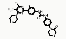 Cc1c(Cl)nc(-c2ccc(NC(=O)Nc3ccc(N4CCOCC4=O)cc3)cc2F)nc1N1CCOCC1